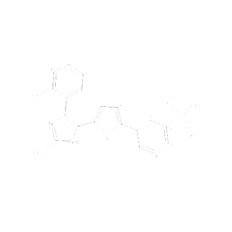 Cc1nc(-c2ccccc2Cl)c(-c2ccc(-c3cccc(S(C)(=O)=O)c3)s2)[nH]1